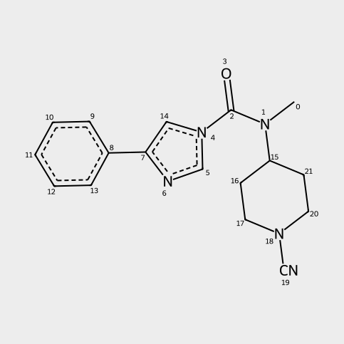 CN(C(=O)n1cnc(-c2ccccc2)c1)C1CCN(C#N)CC1